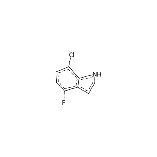 Fc1ccc(Cl)c2[nH]ccc12